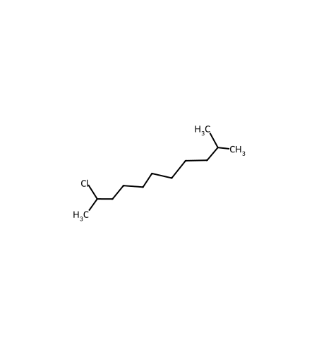 CC(C)CCCCCCCC(C)Cl